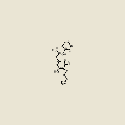 CCCCC1=C(O)CC(CC(C)SC2CCCCC2)CC1=O